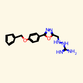 N=C(N)NNCc1nnc(-c2ccc(OCc3ccccc3)cc2)o1